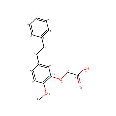 COc1ccc(CCc2ccccc2)cc1OCC(=O)O